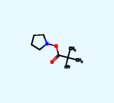 CCCC(C)(C)C(=O)ON1CCCC1